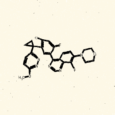 COc1ccc(C2(c3cc(-c4ncnc5c(F)c(N6CCOCC6)ccc45)c(F)cc3Cl)CC2)nn1